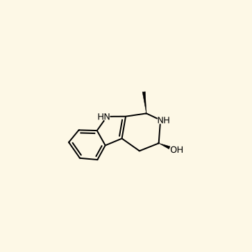 C[C@H]1N[C@@H](O)Cc2c1[nH]c1ccccc21